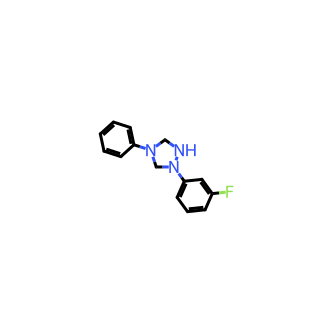 Fc1cccc(N2CN(c3ccccc3)CN2)c1